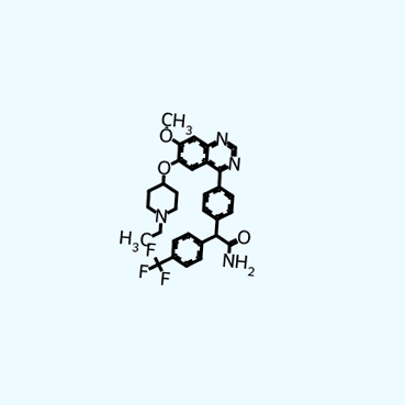 CCN1CCC(Oc2cc3c(-c4ccc(C(C(N)=O)c5ccc(C(F)(F)F)cc5)cc4)ncnc3cc2OC)CC1